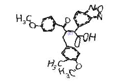 COc1ccc(C(=O)/C(Cc2ccc(OC)c(C)c2)=C(/C(=O)O)c2ccc3nonc3c2)cc1